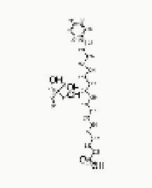 CCC(CO)(CO)CO.O=C(O)CCCCCCCCCCCCCCCCCc1ccccc1